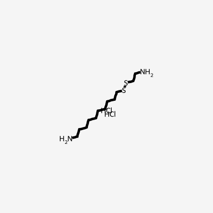 Cl.Cl.NCCCCCCCCCCSSCCN